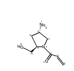 C=CC(=O)N1C[C@@H](N)C[C@@H]1CO